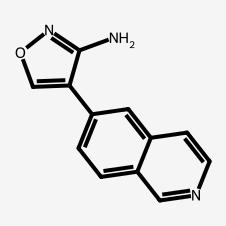 Nc1nocc1-c1ccc2cnccc2c1